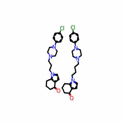 O=C1CCCc2c1ccn2CCCCN1CCN(c2ccc(Cl)cc2)CC1.O=C1CCCc2c1ccn2CCCN1CCN(c2ccc(Cl)cc2)CC1